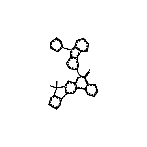 CC1(C)c2ccccc2-c2cc3c4ccccc4c(=O)n(-c4ccc5c(c4)c4ccccc4n5-c4ccccc4)c3cc21